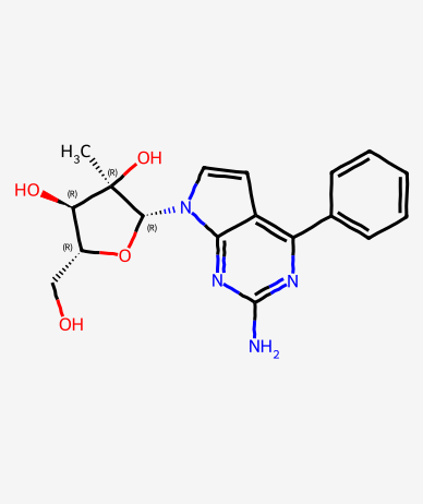 C[C@@]1(O)[C@H](O)[C@@H](CO)O[C@H]1n1ccc2c(-c3ccccc3)nc(N)nc21